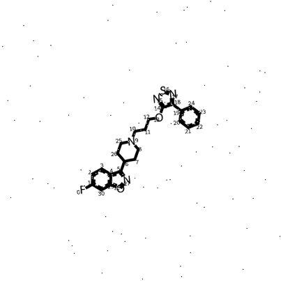 Fc1ccc2c(C3CCN(CCCOc4nsnc4-c4ccccc4)CC3)noc2c1